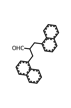 O=CC(Cc1cccc2ccccc12)Cc1cccc2ccccc12